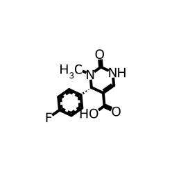 CN1C(=O)NC=C(C(=O)O)[C@@H]1c1ccc(F)cc1